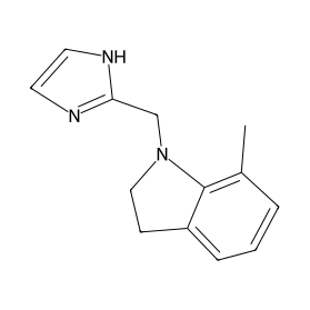 Cc1cccc2c1N(Cc1ncc[nH]1)CC2